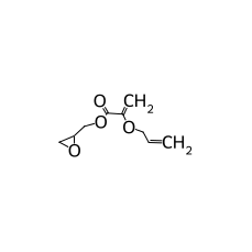 C=CCOC(=C)C(=O)OCC1CO1